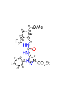 CCOC(=O)c1cc(NC(=O)NCc2cc(COC)ccc2C(F)(F)F)n(-c2ccccc2)n1